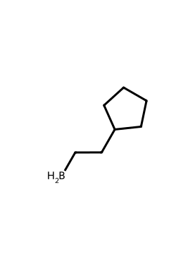 BCCC1CCCC1